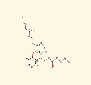 CCCCC(Br)CCCc1ccccc1Oc1ccccc1CCCC(Br)CCCC